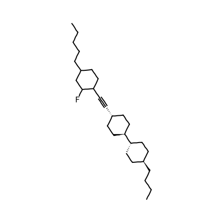 CCCCCC1CCC(C#C[C@H]2CC[C@H]([C@H]3CC[C@H](CCCC)CC3)CC2)C(F)C1